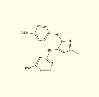 CC(=O)Nc1ccc(Sn2nc(C)cc2Nc2cc(C(C)(C)C)ncn2)cc1